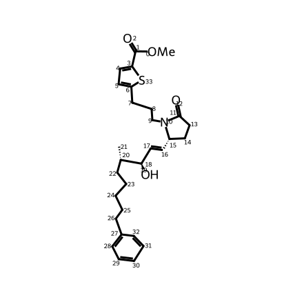 COC(=O)c1ccc(CCCN2C(=O)CC[C@@H]2/C=C/[C@@H](O)[C@@H](C)CCCCCc2ccccc2)s1